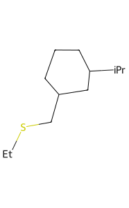 CCSCC1CCCC(C(C)C)C1